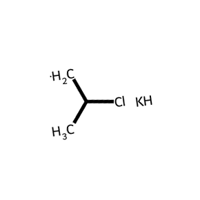 [CH2]C(C)Cl.[KH]